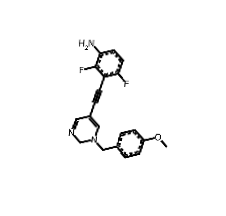 COc1ccc(CN2C=C(C#Cc3c(F)ccc(N)c3F)C=NC2)cc1